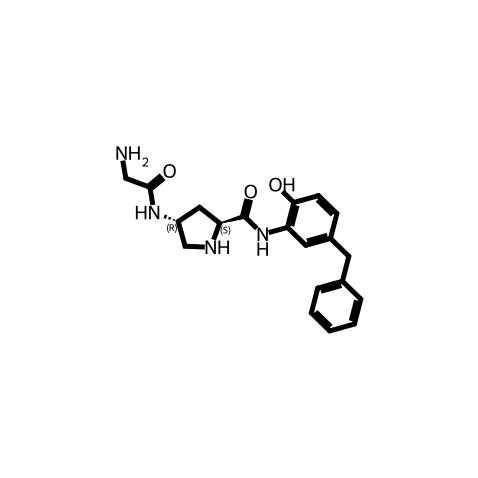 NCC(=O)N[C@H]1CN[C@H](C(=O)Nc2cc(Cc3ccccc3)ccc2O)C1